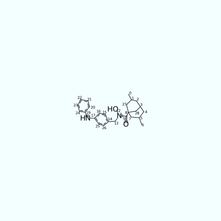 CC1CC2CC(C)CC(C(=O)N(O)Cc3ccc(Nc4ccccc4)cc3)(C1)C2